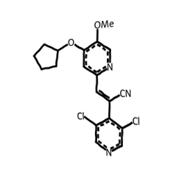 COc1cnc(C=C(C#N)c2c(Cl)cncc2Cl)cc1OC1CCCC1